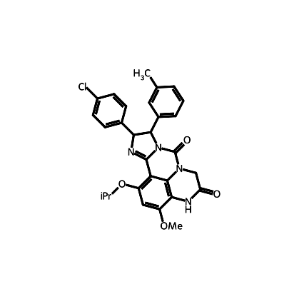 COc1cc(OC(C)C)c2c3c1NC(=O)CN3C(=O)N1C2=NC(c2ccc(Cl)cc2)C1c1cccc(C)c1